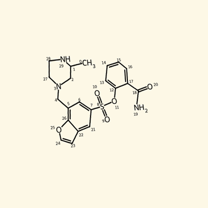 CC1CN(Cc2cc(S(=O)(=O)Oc3ccccc3C(N)=O)cc3ccoc23)CCN1